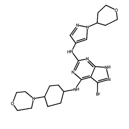 Brc1n[nH]c2nc(Nc3cnn(C4CCOCC4)c3)nc(NC3CCC(N4CCOCC4)CC3)c12